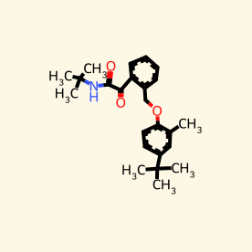 Cc1cc(C(C)(C)C)ccc1OCc1ccccc1C(=O)C(=O)NC(C)(C)C